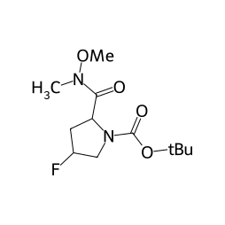 CON(C)C(=O)C1CC(F)CN1C(=O)OC(C)(C)C